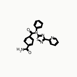 NC(=O)c1ccc(C(=O)N(c2ccccc2)c2nc(-c3ccccn3)ns2)cc1